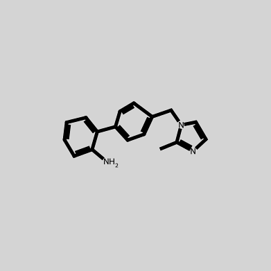 Cc1nccn1Cc1ccc(-c2ccccc2N)cc1